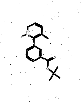 CC1=C(c2cccc(C(=O)OC(C)(C)C)c2)[NH+]([O-])CC=C1